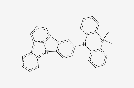 C[Si]1(C)c2ccccc2N(c2ccc3c(c2)c2cccc4c5ccccc5n3c42)c2ccccc21